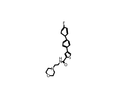 O=C(NCCN1CCOCC1)c1cc(-c2ccc(C3C=CC(F)=CC3)cc2)cs1